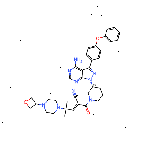 CC(C)(C=C(C#N)C(=O)N1CCC[C@H](n2nc(-c3ccc(Oc4ccccc4)cc3)c3c(N)ncnc32)C1)N1CCN(C2COC2)CC1